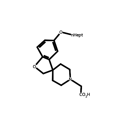 CCCCCCCOc1ccc2c(c1)C1(CCN(CC(=O)O)CC1)CO2